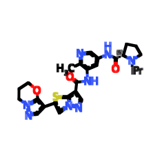 Cc1ncc(NC(=O)[C@@H]2CCCN2C(C)C)cc1NC(=O)c1cnn2cc(-c3cnn4c3OCCC4)sc12